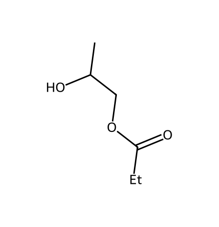 [CH2]CC(=O)OCC(C)O